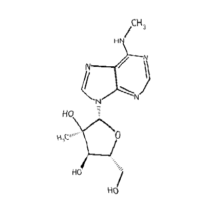 CNc1ncnc2c1ncn2[C@@H]1O[C@H](CO)[C@@H](O)[C@@]1(C)O